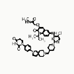 CNC(=O)COc1cc2cc(Nc3nc(N4CCC(CN5CCC6(CC5)CCN(c5ccc(N7CCC(=O)NC7=O)cc5)C6)CC4)ncc3Cl)ccc2n(C(C)C)c1=O